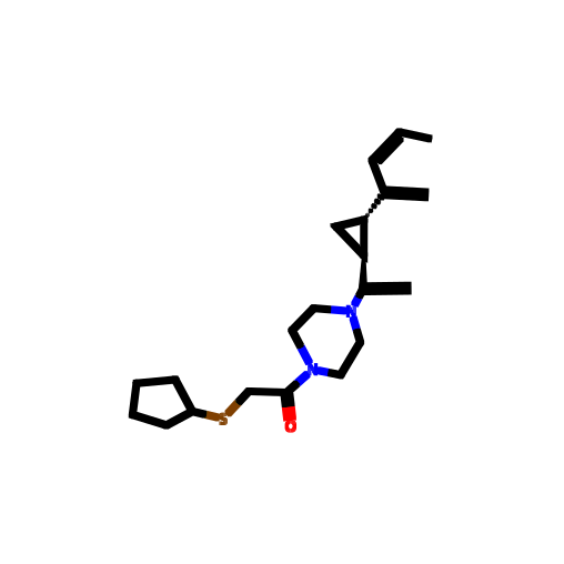 C=C(/C=C\C)[C@H]1C[C@@H]1C(=C)N1CCN(C(=O)CSC2CCCC2)CC1